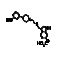 O=C(O)Oc1ccc2c(CSCCN3CCC(c4cccc(O)c4)CC3)c[nH]c2c1